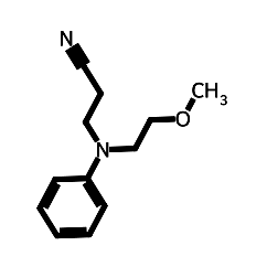 COCCN(CCC#N)c1ccccc1